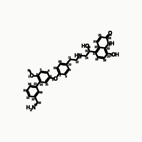 COc1ccc(Oc2ccc(CCNCC(O)c3ccc(O)c4[nH]c(=O)ccc34)cc2)cc1-c1cccc(CN)c1